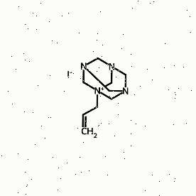 C=CC[N+]12CN3CN(CN(C3)C1)C2.[I-]